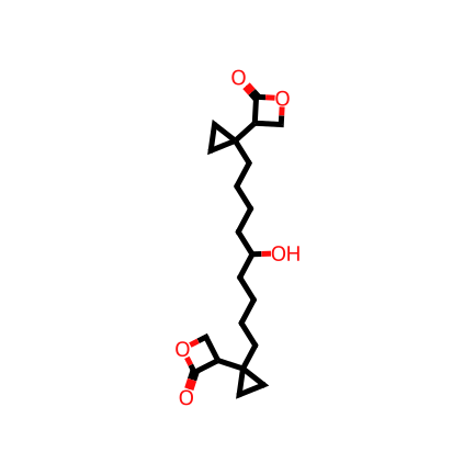 O=C1OCC1C1(CCCCC(O)CCCCC2(C3COC3=O)CC2)CC1